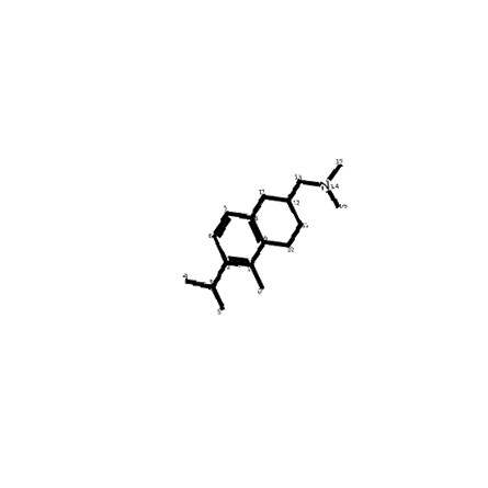 Cc1c(C(C)C)ccc2c1CCC(CN(C)C)C2